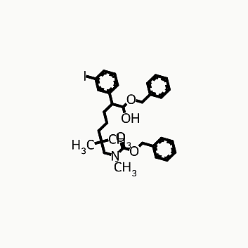 CN(CC(C)(C)CCCC(c1cccc(I)c1)C(O)OCc1ccccc1)C(=O)OCc1ccccc1